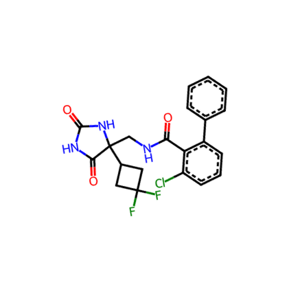 O=C1NC(=O)C(CNC(=O)c2c(Cl)cccc2-c2ccccc2)(C2CC(F)(F)C2)N1